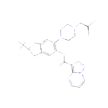 CC(C)(O)[C@]1(C)Cc2cc(NC(=O)c3cnn4cccnc34)c(N3CCN(CC(F)F)CC3)cc2O1